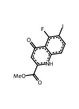 COC(=O)c1cc(=O)c2c(F)c(I)ccc2[nH]1